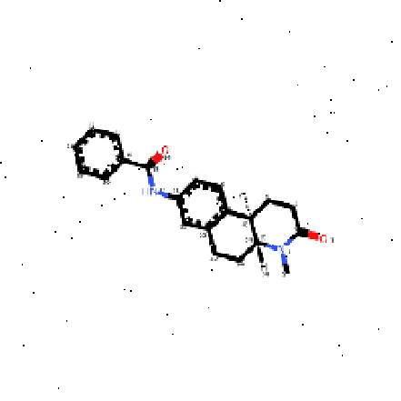 CN1C(=O)CC[C@]2(C)c3ccc(NC(=O)c4ccccc4)cc3CC[C@@H]12